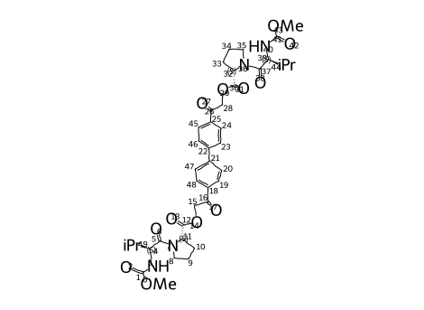 COC(=O)N[C@H](C(=O)N1CCC[C@H]1C(=O)OCC(=O)c1ccc(-c2ccc(C(=O)COC(=O)[C@@H]3CCCN3C(=O)[C@@H](NC(=O)OC)C(C)C)cc2)cc1)C(C)C